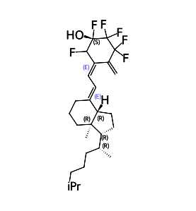 C=C1/C(=C\C=C2/CCC[C@]3(C)[C@@H]([C@H](C)CCCC(C)C)CC[C@@H]23)C(F)[C@](O)(F)C(F)(F)C1(F)F